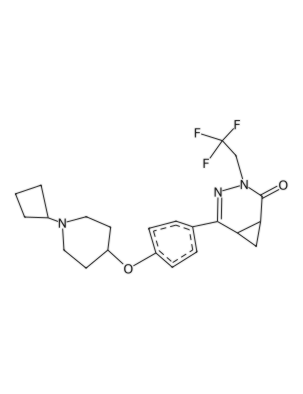 O=C1C2CC2C(c2ccc(OC3CCN(C4CCC4)CC3)cc2)=NN1CC(F)(F)F